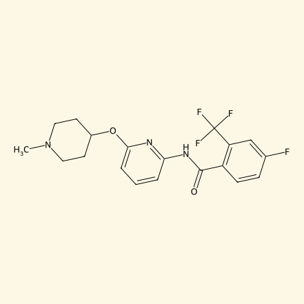 CN1CCC(Oc2cccc(NC(=O)c3ccc(F)cc3C(F)(F)F)n2)CC1